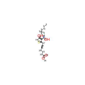 CCCCC(C)(C)C/C=C(/O)[C@@H]1[C@H](O)CS[C@@H]1CC#CCCCC(=O)OC